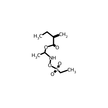 C=C(CC)C(=O)OC(C)NOS(=O)(=O)CC